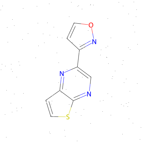 c1cc(-c2cnc3sccc3n2)no1